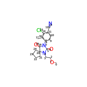 COCCN1C(=O)N(c2ccc(C#N)c(Cl)c2C)C(=O)C12CCCC2